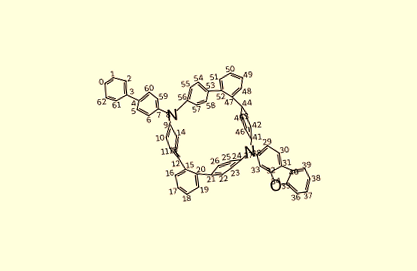 c1ccc(-c2ccc(N3c4ccc(cc4)-c4ccccc4-c4ccc(cc4)N(c4ccc5c(c4)oc4ccccc45)c4ccc(cc4)-c4ccccc4-c4ccc3cc4)cc2)cc1